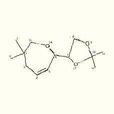 CC1(C)CC=CC(C2COC(C)(C)O2)OC1